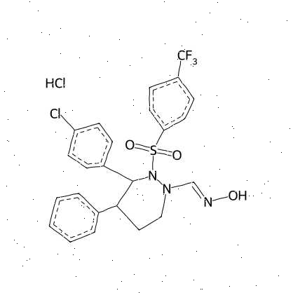 Cl.O=S(=O)(c1ccc(C(F)(F)F)cc1)N1C(c2ccc(Cl)cc2)C(c2ccccc2)CCN1C=NO